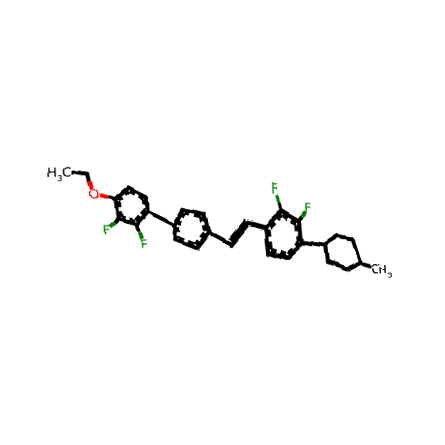 CCOc1ccc(-c2ccc(/C=C/c3ccc(C4CCC(C)CC4)c(F)c3F)cc2)c(F)c1F